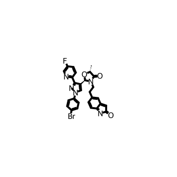 C[C@H]1O[C@H](c2cn(-c3ccc(Br)cc3)nc2-c2ccc(F)cn2)N(CCc2ccc3c(c2)=CC(=O)N=3)C1=O